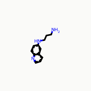 NCCCNc1ccc2ncccc2c1